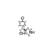 OCC(c1ccc(Cl)cc1)N1CCNCC1